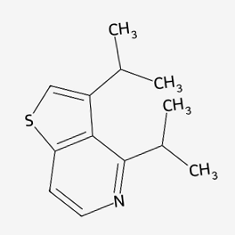 CC(C)c1csc2ccnc(C(C)C)c12